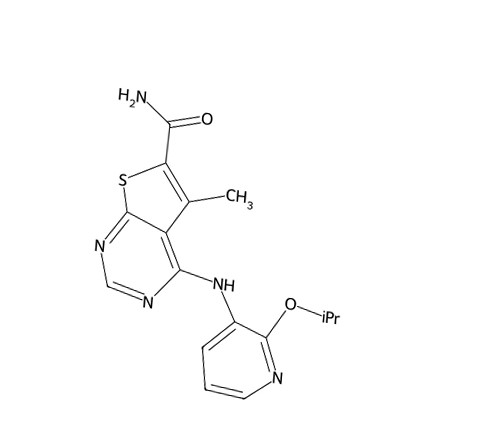 Cc1c(C(N)=O)sc2ncnc(Nc3cccnc3OC(C)C)c12